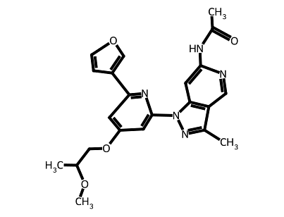 COC(C)COc1cc(-c2ccoc2)nc(-n2nc(C)c3cnc(NC(C)=O)cc32)c1